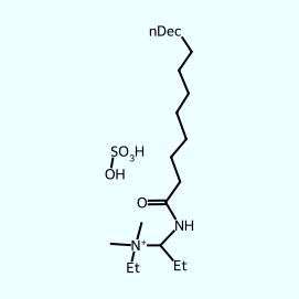 CCCCCCCCCCCCCCCCCC(=O)NC(CC)[N+](C)(C)CC.O=S(=O)(O)O